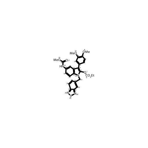 CCOC(=O)Oc1c(-c2ccc(OC)c(OC)c2)c2cc(NC(=O)OC)ccc2n1Cc1ccc2nsnc2c1